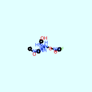 O=C(NCCOCCNc1nc(Nc2ccc(O)cc2)nc(Nc2ccc(C(=O)NCc3ccccc3)cc2)n1)c1ccc(F)cc1